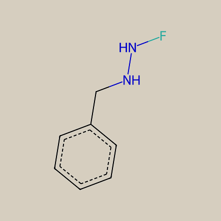 FNNCc1ccccc1